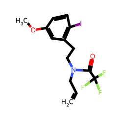 C=CCN(CCc1cc(OC)ccc1I)C(=O)C(F)(F)F